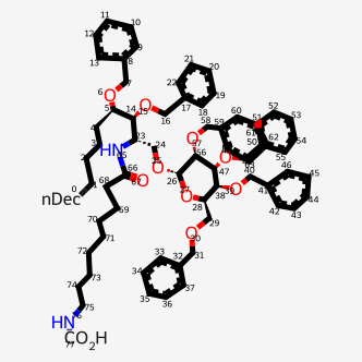 CCCCCCCCCCCCCC[C@@H](OCc1ccccc1)[C@@H](OCc1ccccc1)[C@H](CO[C@H]1O[C@H](COCc2ccccc2)[C@H](OCc2ccccc2)[C@H](OCc2ccccc2)[C@H]1OCc1ccccc1)NC(=O)CCCCCCCCNC(=O)O